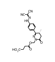 C[C@@H]1CC(=O)N(COC(=O)CCC(=O)O)N=C1c1ccc(NN=C(C#N)C#N)cc1